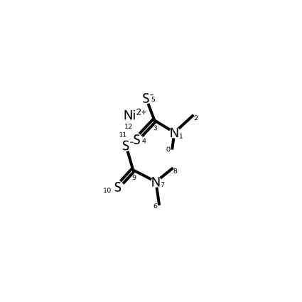 CN(C)C(=S)[S-].CN(C)C(=S)[S-].[Ni+2]